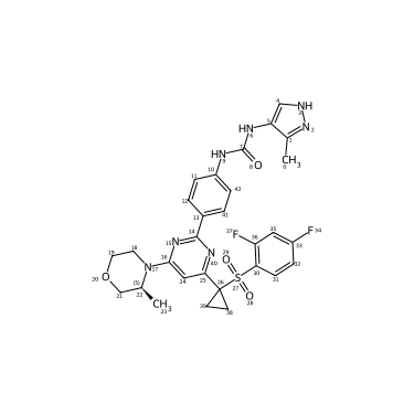 Cc1n[nH]cc1NC(=O)Nc1ccc(-c2nc(N3CCOC[C@@H]3C)cc(C3(S(=O)(=O)c4ccc(F)cc4F)CC3)n2)cc1